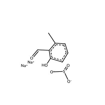 Cc1cccc(O)c1C=O.O=S([O-])[O-].[Na+].[Na+]